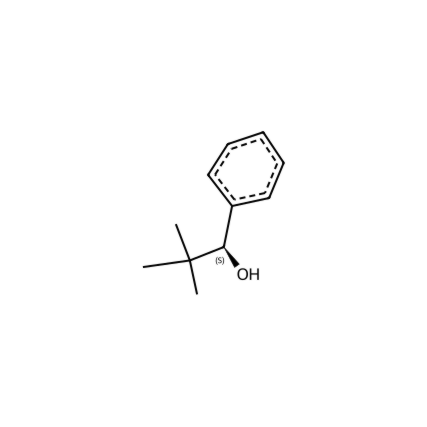 CC(C)(C)[C@H](O)c1ccccc1